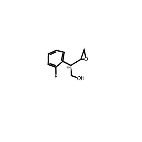 OC[C@@H](c1ccccc1F)C1CO1